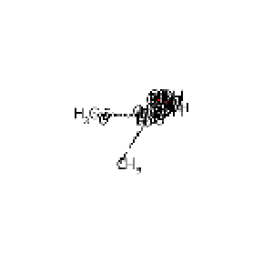 CCCCCCCCCCCCCCCC(=O)O[C@H](COC(=O)CCCCCCCCCSC(=O)CCC)COP(=O)(O)OC1C(O)[C@@H](OP(=O)(O)O)C(OP(=O)(O)O)[C@@H](OP(=O)(O)O)[C@H]1O